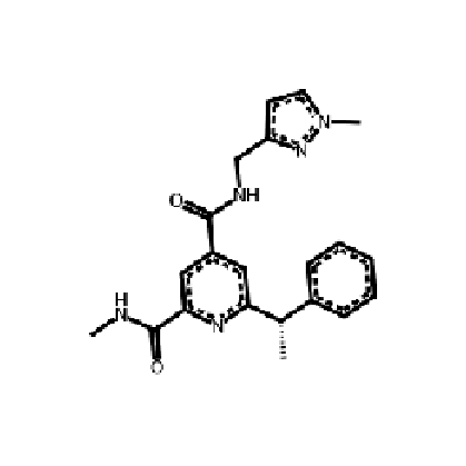 CNC(=O)c1cc(C(=O)NCc2ccn(C)n2)cc([C@@H](C)c2ccccc2)n1